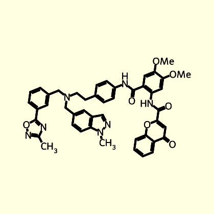 COc1cc(NC(=O)c2cc(=O)c3ccccc3o2)c(C(=O)Nc2ccc(CCN(Cc3cccc(-c4nc(C)no4)c3)Cc3ccc4c(cnn4C)c3)cc2)cc1OC